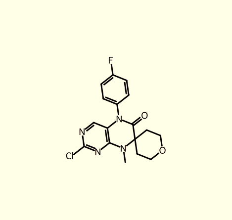 CN1c2nc(Cl)ncc2N(c2ccc(F)cc2)C(=O)C12CCOCC2